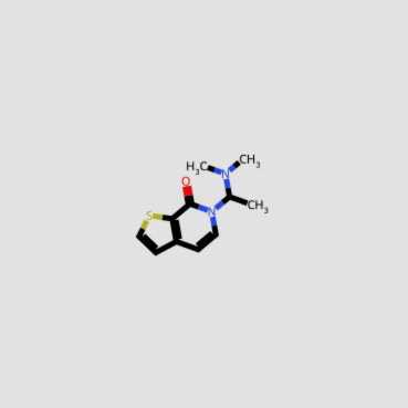 CC(N(C)C)n1ccc2ccsc2c1=O